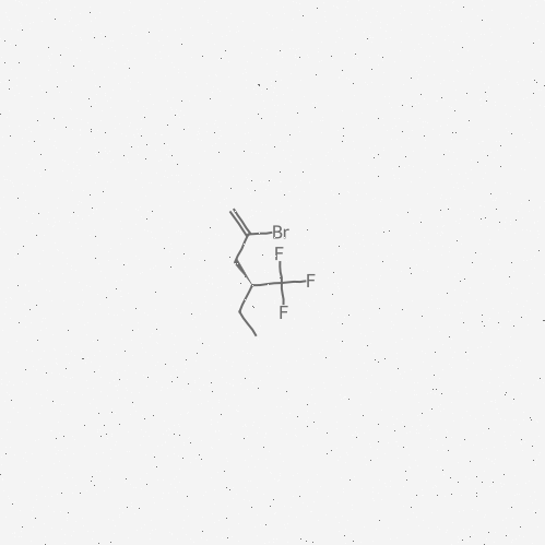 C=C(Br)C[C@H](CC)C(F)(F)F